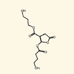 O=C(CCCO)OC1OC(=O)CC1C(=O)OCCCO